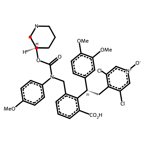 COc1ccc(N(Cc2cccc(C(=O)O)c2[C@@H](Cc2c(Cl)c[n+]([O-])cc2Cl)c2ccc(OC)c(OC)c2)C(=O)O[C@H]2CN3CCC2CC3)cc1